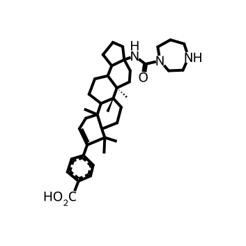 CC1(C)C(c2ccc(C(=O)O)cc2)=CCC2(C)C1CC[C@]1(C)C2CCC2C3CCCC3(NC(=O)N3CCCNCC3)CC[C@]21C